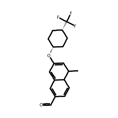 CC1C=C(O[C@H]2CC[C@@H](C(F)(F)F)CC2)C=C2C=C(C=O)C=CC21